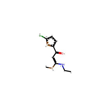 CCN/C(=C\C(=O)c1ccc(Br)s1)SC